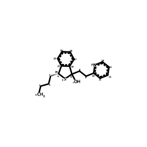 CCCC[C@H]1SC(O)(CCc2ccccn2)c2ccccc21